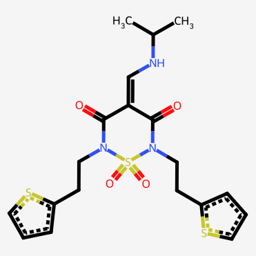 CC(C)NC=C1C(=O)N(CCc2cccs2)S(=O)(=O)N(CCc2cccs2)C1=O